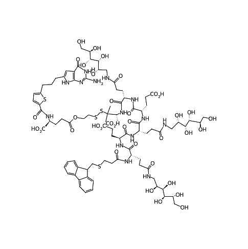 CC(C)(SSCCOC(=O)CC[C@H](NC(=O)c1ccc(CCCc2cc3c(=O)[nH]c(N)nc3[nH]2)s1)C(=O)O)[C@H](NC(=O)[C@H](CCC(=O)NC[C@H](O)[C@@H](O)[C@H](O)[C@H](O)CO)NC(=O)[C@H](CCC(=O)O)NC(=O)[C@H](CCC(=O)NC[C@H](O)[C@@H](O)[C@H](O)[C@H](O)CO)NC(=O)[C@H](CCC(=O)O)NC(=O)[C@H](CCC(=O)NC[C@H](O)[C@@H](O)[C@H](O)[C@H](O)CO)NC(=O)CCSCC1c2ccccc2-c2ccccc21)C(=O)O